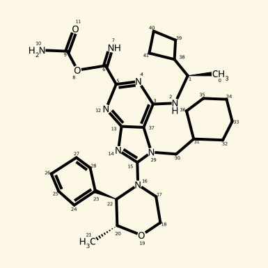 C[C@@H](Nc1nc(C(=N)OC(N)=O)nc2nc(N3CCO[C@H](C)[C@H]3c3ccccc3)n(CC3CCCCC3)c12)C1CCC1